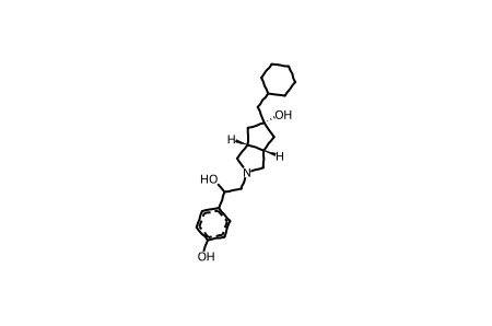 Oc1ccc(C(O)CN2C[C@@H]3C[C@@](O)(CC4CCCCC4)C[C@@H]3C2)cc1